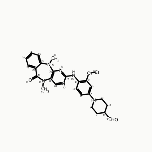 CCOc1cc(N2CCC(C=O)CC2)ccc1Nc1ncc2c(n1)N(C)c1ccccc1C(=O)N2C